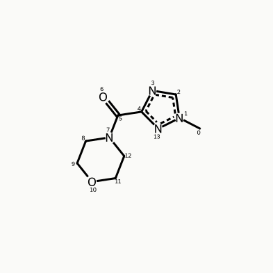 Cn1cnc(C(=O)N2CCOCC2)n1